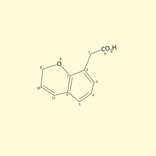 O=C(O)Cc1cccc2c1OCC=C2